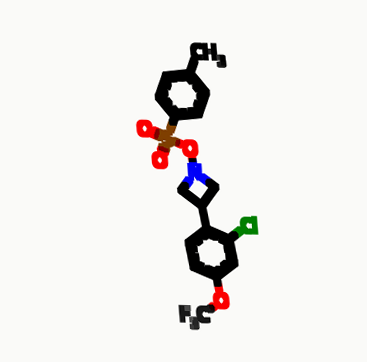 Cc1ccc(S(=O)(=O)ON2CC(c3ccc(OC(F)(F)F)cc3Cl)C2)cc1